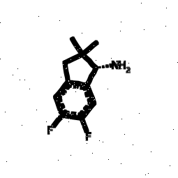 CC1(C)Cc2cc(F)c(F)cc2[C@H]1N